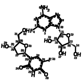 Nc1nc(F)nc2c1ncn2[C@@H]1O[C@H](CO)[C@@H](O)[C@@H]1O.O=c1[nH]c(=O)n([C@H]2C[C@H](O)[C@@H](CO)O2)cc1F